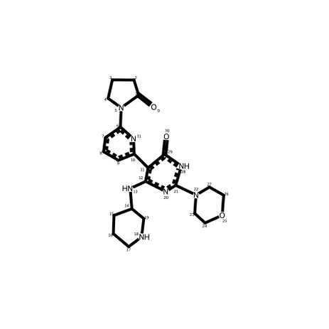 O=C1CCCN1c1cccc(-c2c(NC3CCCNC3)nc(N3CCOCC3)[nH]c2=O)n1